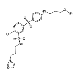 Cc1ccc(S(=O)(=O)c2ccc(NCCCOC(C)C)cc2)cc1S(=O)(=O)NCCCn1ccnc1